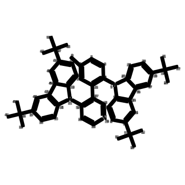 Cc1ccc(-n2c3ccc(C(C)(C)C)cc3c3cc(C(C)(C)C)ccc32)c(-c2cnccc2-n2c3ccc(C(C)(C)C)cc3c3cc(C(C)(C)C)ccc32)c1